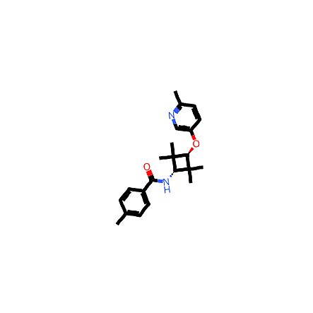 Cc1ccc(C(=O)N[C@H]2C(C)(C)[C@H](Oc3ccc(C)nc3)C2(C)C)cc1